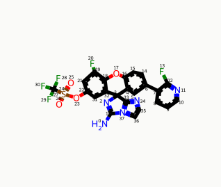 NC1=NC2(c3cc(-c4cccnc4F)ccc3Oc3c(F)cc(OS(=O)(=O)C(F)(F)F)cc32)c2nccn21